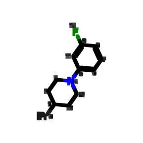 CC(C)C1CCN(c2cccc(F)c2)CC1